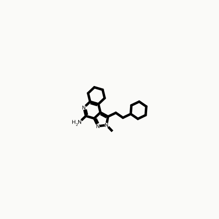 Cn1nc2c(N)nc3c(c2c1CCC1CCCCC1)CCCC3